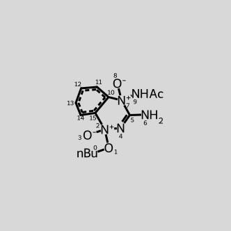 CCCCO[N+]1([O-])N=C(N)[N+]([O-])(NC(C)=O)c2ccccc21